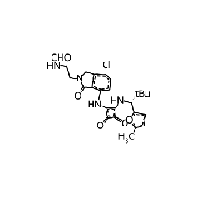 Cc1ccc([C@H](Nc2c(Nc3ccc(Cl)c4c3C(=O)N(CCNC=O)C4)c(=O)c2=O)C(C)(C)C)o1